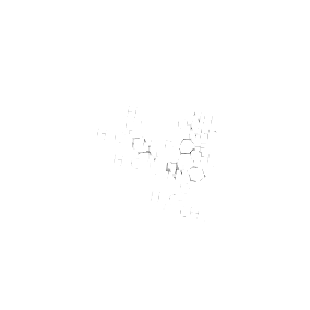 Cc1cc(C(C)C)cnc1N1CCc2nn(-c3c(C)cccc3OCC(C)C)c(-c3cc(F)c(NC(N)=O)cc3F)c2C1